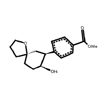 COC(=O)c1ccc([C@@H]2C[C@@]3(CCCO3)CC[C@@H]2O)cc1